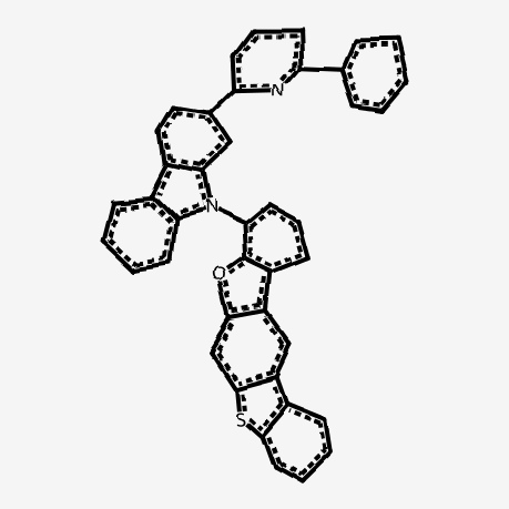 c1ccc(-c2cccc(-c3ccc4c5ccccc5n(-c5cccc6c5oc5cc7sc8ccccc8c7cc56)c4c3)n2)cc1